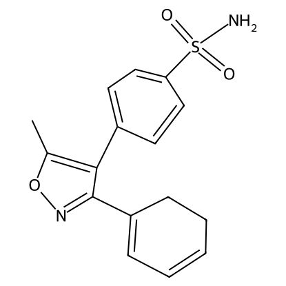 Cc1onc(C2=CC=CCC2)c1-c1ccc(S(N)(=O)=O)cc1